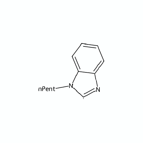 CCCCCn1[c]nc2ccccc21